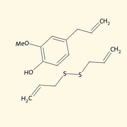 C=CCSSCC=C.C=CCc1ccc(O)c(OC)c1